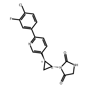 O=C1CNC(=O)N1[C@@H]1C[C@H]1c1ccc(-c2ccc(Cl)c(F)c2)nc1